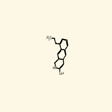 CCCc1cccc2c1=CC1CNC(O)=CC1C=2